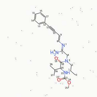 CCCN(C/C(N)=N/C=C/C#Cc1ccccc1)C(=O)C(NC(=O)OC)C(C)C